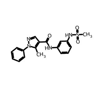 Cc1c(C(=O)Nc2cccc(NS(C)(=O)=O)c2)cnn1-c1ccccc1